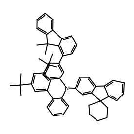 CC(C)(C)c1cc(-c2ccccc2N(c2cccc(-c3cccc4c3C(C)(C)c3ccccc3-4)c2)c2ccc3c(c2)C2(CCCCC2)c2ccccc2-3)cc(C(C)(C)C)c1